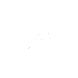 [2H]C1([2H])c2ncccc2C(=O)N1Cc1c(F)cc(-c2cccc3nn(C([2H])([2H])[2H])cc23)cc1OC